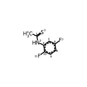 CC(=S)Nc1cc(F)ccc1F